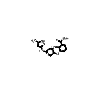 CNC(=O)c1ccccc1Nc1cc(Nc2cc(C)[nH]n2)ncc1Cl